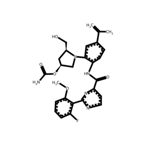 C=C(C)c1ccc(NC(=O)c2ccnc(-c3c(F)cccc3OC)n2)c(N2C[C@@H](OC(N)=O)C[C@H]2CO)c1